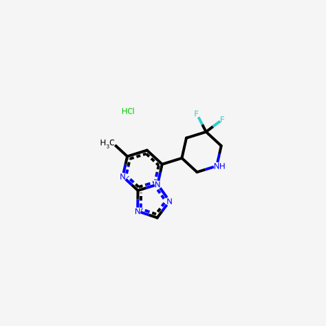 Cc1cc(C2CNCC(F)(F)C2)n2ncnc2n1.Cl